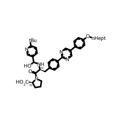 CCCCCCCOc1ccc(-c2cnc(-c3ccc(C[C@H](NC(O)c4ccc(C(C)(C)C)nc4)C(=O)N4CCC[C@H]4C(=O)O)cc3)nc2)cc1